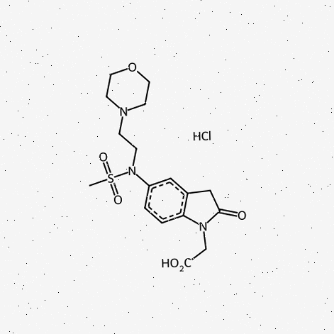 CS(=O)(=O)N(CCN1CCOCC1)c1ccc2c(c1)CC(=O)N2CC(=O)O.Cl